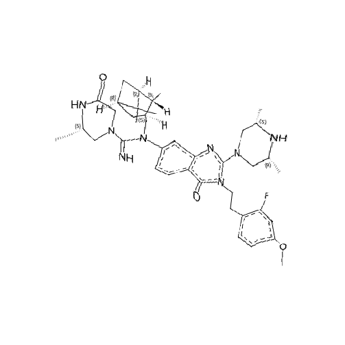 COc1ccc(CCn2c(N3C[C@@H](C)N[C@@H](C)C3)nc3cc(N(C(=N)N4CC(=O)N[C@@H](C)C4)[C@H]4C[C@H]5C[C@@H]([C@@H]4C)C5(C)C)ccc3c2=O)c(F)c1